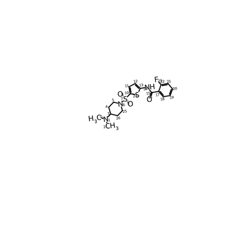 CN(C)C1CCN(S(=O)(=O)c2ccc(NC(=O)c3ccccc3F)s2)CC1